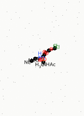 COC(=O)[C@H](Cc1ccc(-c2ccc(C#N)cc2)cc1)NC(=O)[C@@H]1Cc2cc3c(cc2CN1S(=O)(=O)C1C=CC(C)(NC(C)=O)C=C1)OC(c1ccc(OCc2ccc(Cl)c(Cl)c2)cc1)CO3